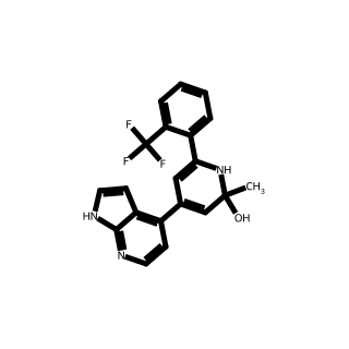 CC1(O)C=C(c2ccnc3[nH]ccc23)C=C(c2ccccc2C(F)(F)F)N1